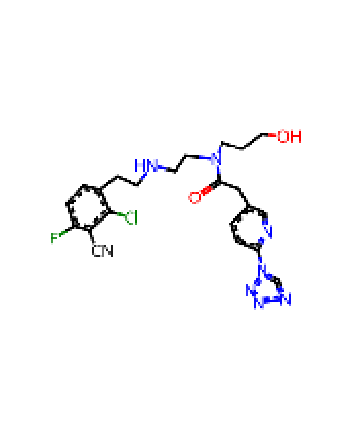 N#Cc1c(F)ccc(CCNCCN(CCCO)C(=O)Cc2ccc(-n3cnnn3)nc2)c1Cl